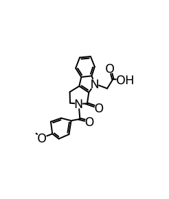 COc1ccc(C(=O)N2CCc3c(n(CC(=O)O)c4ccccc34)C2=O)cc1